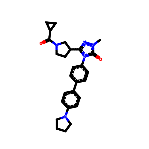 Cn1nc(C2CCN(C(=O)C3CC3)C2)n(-c2ccc(-c3ccc(N4CCCC4)cc3)cc2)c1=O